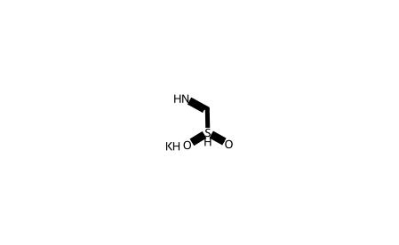 N=C[SH](=O)=O.[KH]